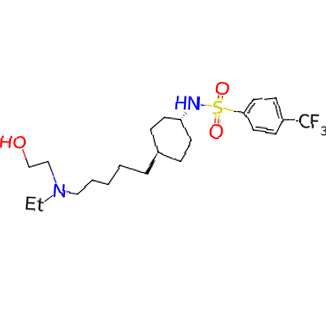 CCN(CCO)CCCCC[C@H]1CC[C@H](NS(=O)(=O)c2ccc(C(F)(F)F)cc2)CC1